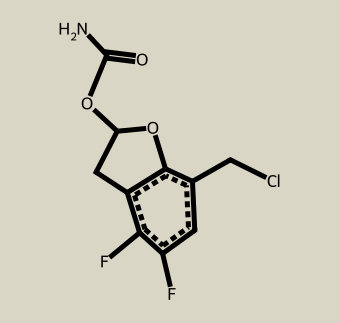 NC(=O)OC1Cc2c(F)c(F)cc(CCl)c2O1